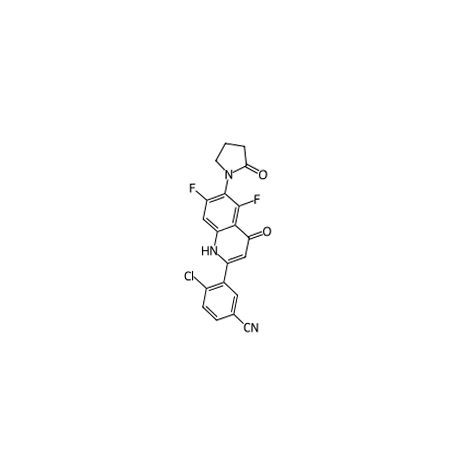 N#Cc1ccc(Cl)c(-c2cc(=O)c3c(F)c(N4CCCC4=O)c(F)cc3[nH]2)c1